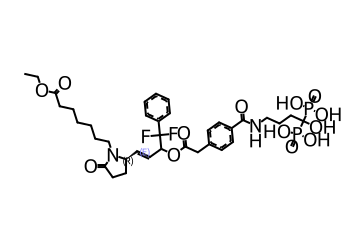 CCOC(=O)CCCCCCN1C(=O)CC[C@@H]1/C=C/C(OC(=O)Cc1ccc(C(=O)NCCCC(O)(P(=O)(O)O)P(=O)(O)O)cc1)C(F)(F)c1ccccc1